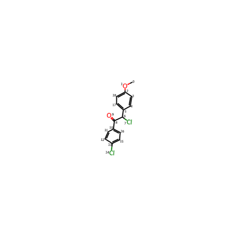 COc1ccc(C(Cl)C(=O)c2ccc(Cl)cc2)cc1